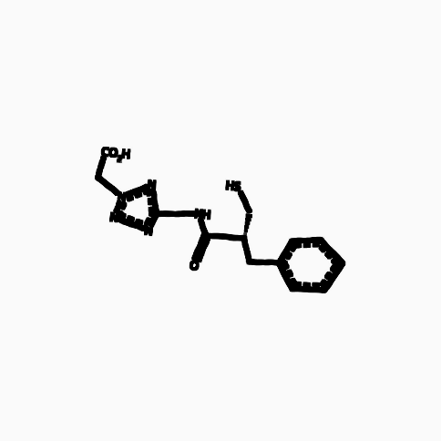 O=C(O)Cn1nnc(NC(=O)[C@H](CS)Cc2ccccc2)n1